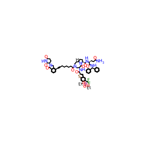 CCOP(=O)(OCC)C(F)(F)c1ccc2sc(C(=O)N[C@H]3CN(C(=O)CCCCCC#Cc4cccc5c4CN(C4CCC(=O)NC4=O)C5=O)CC[C@H]4CC[C@@H](C(=O)N[C@@H](CCC(N)=O)C(=O)NC(c5ccccc5)c5ccccc5)N4C3=O)cc2c1